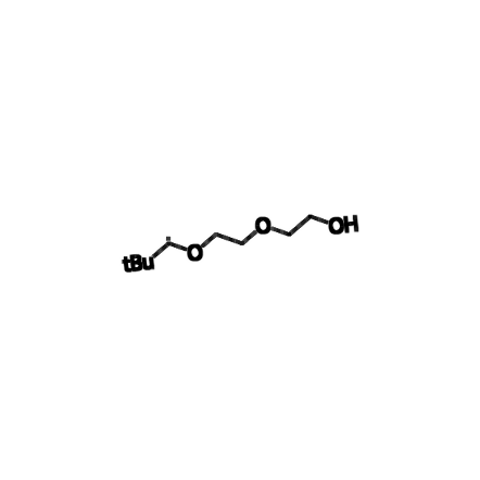 CC(C)(C)[CH]OCCOCCO